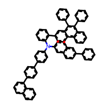 c1ccc(-c2ccc3cc(N(c4ccc(-c5ccc(-c6cccc7ccccc67)cc5)cc4)c4ccccc4-c4ccc5c(c4)c(-c4ccccc4)c(-c4ccccc4)c4ccccc45)ccc3c2)cc1